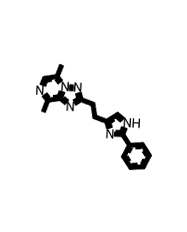 Cc1ncc(C)n2nc(CCc3c[nH]c(-c4ccccc4)n3)nc12